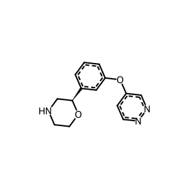 c1cc(Oc2ccnnc2)cc([C@@H]2CNCCO2)c1